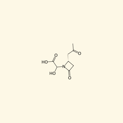 CC(=O)C[C@@H]1CC(=O)N1C(O)C(=O)O